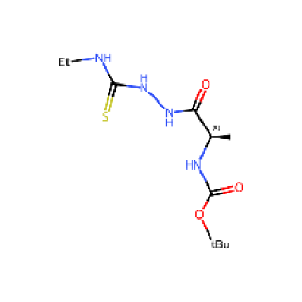 CCNC(=S)NNC(=O)[C@@H](C)NC(=O)OC(C)(C)C